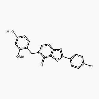 COc1ccc(Cn2ccc3nc(-c4ccc(Cl)cc4)sc3c2=O)c(OC)c1